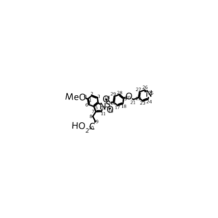 COc1ccc2c(c1)c(CCC(=O)O)cn2S(=O)(=O)c1ccc(OCc2ccncc2)cc1